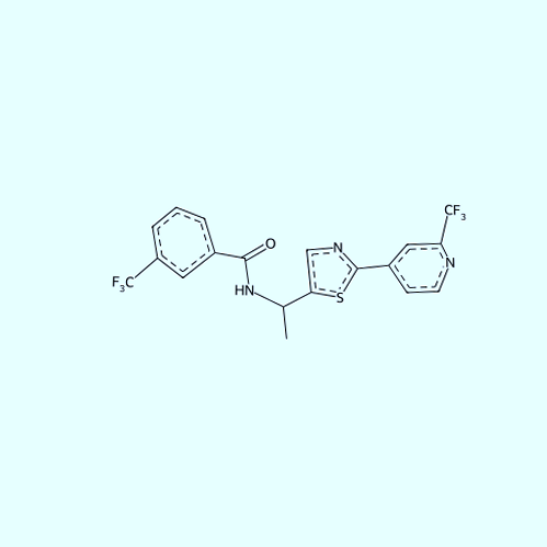 CC(NC(=O)c1cccc(C(F)(F)F)c1)c1cnc(-c2ccnc(C(F)(F)F)c2)s1